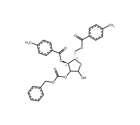 Cc1ccc(C(=O)OC[C@@H]2SC(O)C(OC(=O)OCc3ccccc3)[C@H]2OC(=O)c2ccc(C)cc2)cc1